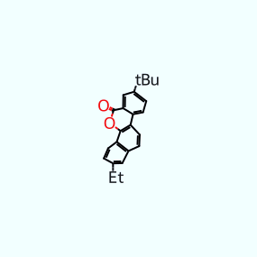 CCc1ccc2c(ccc3c4ccc(C(C)(C)C)cc4c(=O)oc23)c1